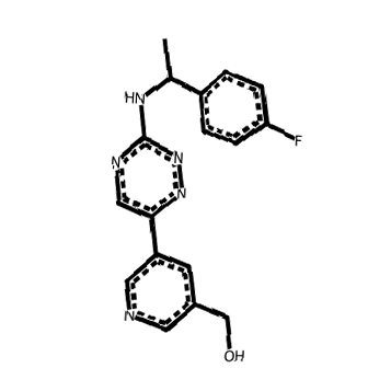 CC(Nc1ncc(-c2cncc(CO)c2)nn1)c1ccc(F)cc1